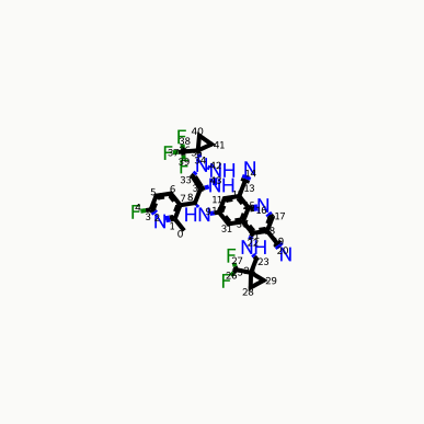 Cc1nc(F)ccc1[C@H](Nc1cc(C#N)c2ncc(C#N)c(NCC3(C(F)F)CC3)c2c1)C1=CN(C2(C(F)(F)F)CC2)NN1